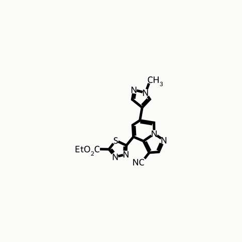 CCOC(=O)c1nnc(-c2cc(-c3cnn(C)c3)cn3ncc(C#N)c23)s1